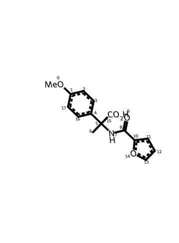 COc1ccc(C(C)(NC(=O)c2ccco2)C(=O)O)cc1